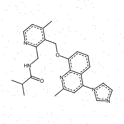 Cc1cc(-n2ccnc2)c2cccc(OCc3c(C)ccnc3CNC(=O)C(C)C)c2n1